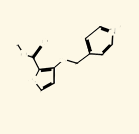 COC(=O)c1sccc1SCc1ccncc1